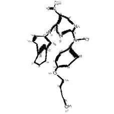 O=[N+]([O-])c1cnc(N(Cl)c2ccc(OCCCO)cc2)nc1Nc1ccc2c(c1)CCC2